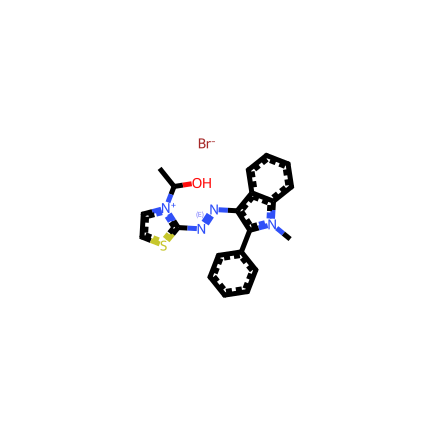 CC(O)[n+]1ccsc1/N=N/c1c(-c2ccccc2)n(C)c2ccccc12.[Br-]